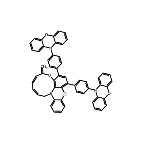 C=C1/C=C\C=C/CB2c3ccccc3Oc3c(-c4ccc(N5c6ccccc6Oc6ccccc65)cc4)cc(-c4ccc(N5c6ccccc6Oc6ccccc65)cc4)c(c32)O1